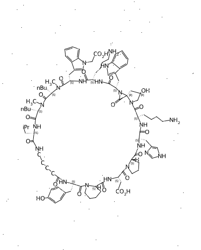 CCCC[C@H]1C(=O)N(C)[C@@H](CCCC)C(=O)N[C@@H](CC(C)C)C(=O)NCCCCC(=O)N[C@@H](Cc2ccc(O)cc2)C(=O)N2CCCC[C@H]2C(=O)N[C@@H](CC(=O)O)C(=O)N2CCC[C@H]2C(=O)N[C@@H](Cc2c[nH]cn2)C(=O)N[C@@H](CCCCN)C(=O)N2C[C@H](O)C[C@@]23C(=O)N3[C@@H](Cc2c[nH]c3ccccc23)C(=O)N[C@@H](CCCCN)C(=O)N[C@@H](Cc2cn(CC(=O)O)c3ccccc23)C(=O)N1C